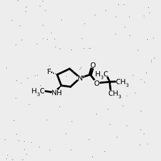 CN[C@@H]1CN(C(=O)OC(C)(C)C)C[C@H]1F